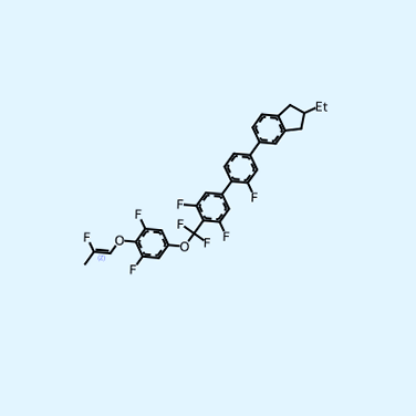 CCC1Cc2ccc(-c3ccc(-c4cc(F)c(C(F)(F)Oc5cc(F)c(O/C=C(/C)F)c(F)c5)c(F)c4)c(F)c3)cc2C1